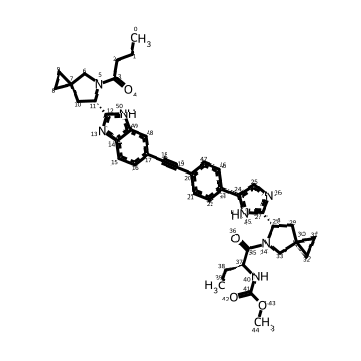 CCCC(=O)N1CC2(CC2)C[C@H]1c1nc2ccc(C#Cc3ccc(-c4cnc([C@@H]5CC6(CC6)CN5C(=O)[C@H](CC)NC(=O)OC)[nH]4)cc3)cc2[nH]1